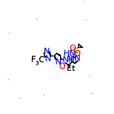 CCC(C(=O)Nc1ccc(-c2cncc(C(F)(F)F)n2)cn1)c1ccnc(NS(=O)(=O)C2CC2)n1